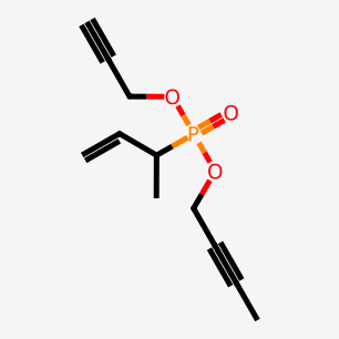 C#CCOP(=O)(OCC#CC)C(C)C=C